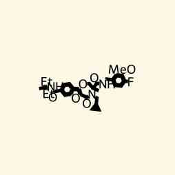 CCC(C)(CC)NC(=O)c1ccc2c3c(oc2c1)C(=O)N(CC1CC1)C(C)(C(=O)NCc1ccc(F)cc1OC)CO3